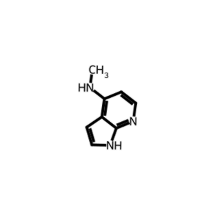 CNc1ccnc2[nH]ccc12